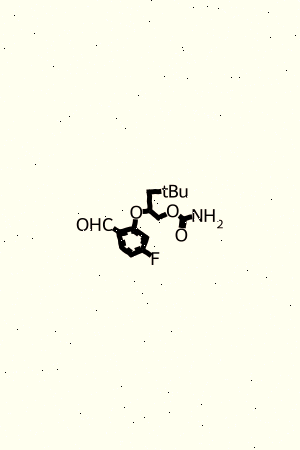 CC(C)(C)CC(COC(N)=O)Oc1cc(F)ccc1C=O